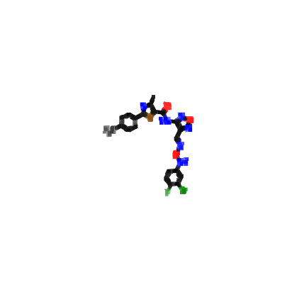 Cc1nc(-c2ccc(C(F)(F)F)cc2)sc1C(=O)Nc1nonc1/C=N/ONc1ccc(F)c(Br)c1